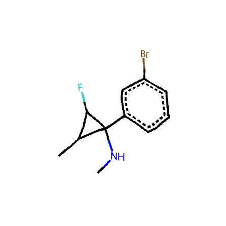 CNC1(c2cccc(Br)c2)C(C)C1F